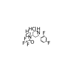 CN(C(=O)C(F)(F)F)[C@@H]1CCN[C@H](c2ccc(F)cc2F)C1.Cl